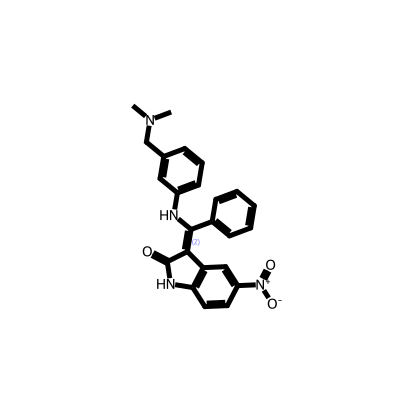 CN(C)Cc1cccc(N/C(=C2\C(=O)Nc3ccc([N+](=O)[O-])cc32)c2ccccc2)c1